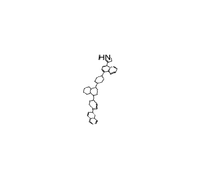 C1=CC2C=CC(C3C=CC(C4CCC(C5CCC(C6=CC=C(C7=CNCC7)C7C=CC=CC67)CC5)C5CCCCC45)CC3)CC2C=C1